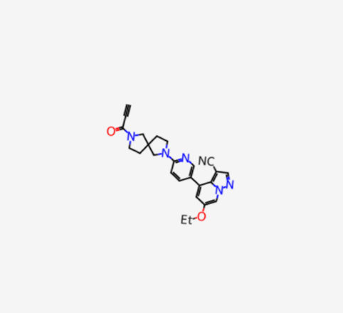 C#CC(=O)N1CCC2(CCN(c3ccc(-c4cc(OCC)cn5ncc(C#N)c45)cn3)C2)C1